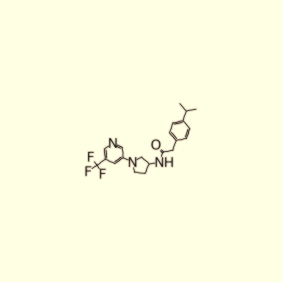 CC(C)c1ccc(CC(=O)NC2CCN(c3cncc(C(F)(F)F)c3)C2)cc1